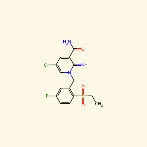 CCS(=O)(=O)c1ccc(F)cc1Cn1cc(Cl)cc(C(N)=O)c1=N